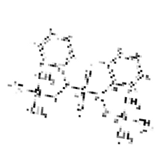 C[Si](C)(C)CC(c1ccccc1)S(=O)(=O)C(C[Si](C)(C)C)c1ccccc1